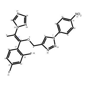 C/C(=C(/OCc1cn(-c2ccc([N+](=O)[O-])cc2)nn1)c1ccc(F)cc1F)n1cncn1